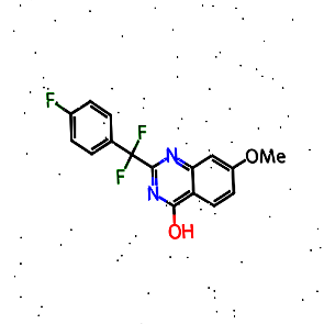 COc1ccc2c(O)nc(C(F)(F)c3ccc(F)cc3)nc2c1